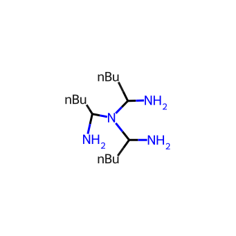 CCCCC(N)N(C(N)CCCC)C(N)CCCC